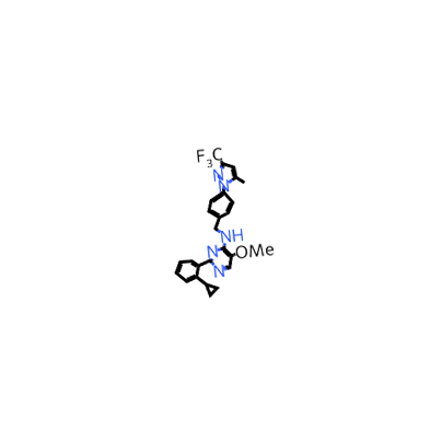 COc1cnc(-c2ccccc2C2CC2)nc1NCc1ccc(-n2nc(C(F)(F)F)cc2C)cc1